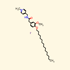 CCCCCCCCCCCCCCCCOc1ccc(CC(=O)NCc2cc[n+](C)cc2)cc1OC.[I-]